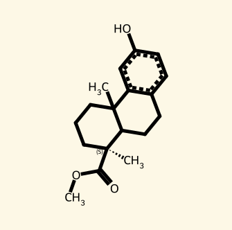 COC(=O)[C@@]1(C)CCCC2(C)c3cc(O)ccc3CCC21